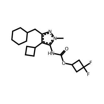 Cn1nc(CC2CCCCC2)c(C2CCC2)c1NC(=O)OC1CC(F)(F)C1